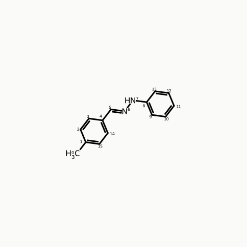 Cc1ccc(C=NNc2ccccc2)cc1